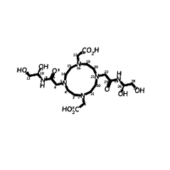 O=C(O)CN1CCN(CC(=O)N[C@H](O)CO)CCN(CC(=O)O)CCN(CC(=O)N[C@H](O)CO)CC1